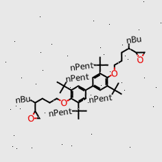 CCCCCC(C)(C)c1cc(-c2cc(C(C)(C)CCCCC)c(OCCCC(CCCC)C3CO3)c(C(C)(C)CCCCC)c2)cc(C(C)(C)CCCCC)c1OCCCC(CCCC)C1CO1